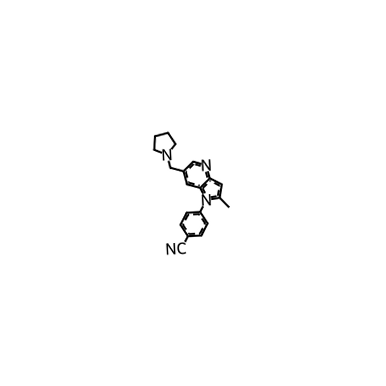 Cc1cc2ncc(CN3CCCC3)cc2n1-c1ccc(C#N)cc1